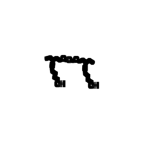 CCC(C#CCCCCO)CCOCOCOCCC(C#CCCCCO)CC